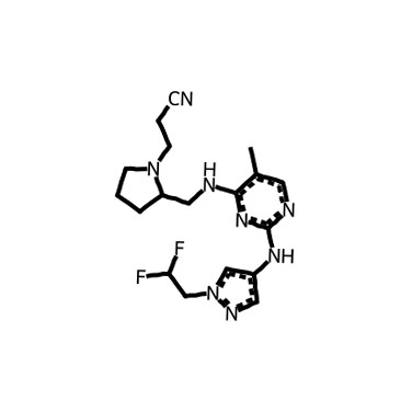 Cc1cnc(Nc2cnn(CC(F)F)c2)nc1NCC1CCCN1CCC#N